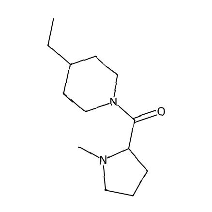 CCC1CCN(C(=O)C2CCCN2C)CC1